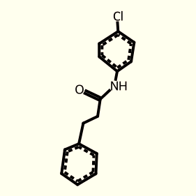 O=C(CCc1ccccc1)Nc1ccc(Cl)cc1